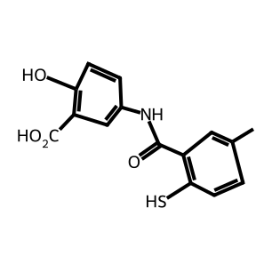 Cc1ccc(S)c(C(=O)Nc2ccc(O)c(C(=O)O)c2)c1